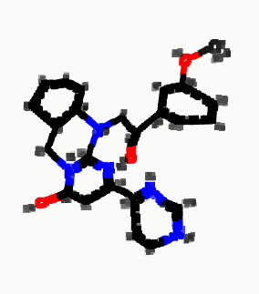 O=C(CN1c2ccccc2Cn2c1nc(-c1ccncn1)cc2=O)c1cccc(OC(F)(F)F)c1